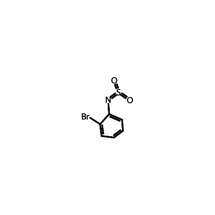 O=S(=O)=Nc1ccccc1Br